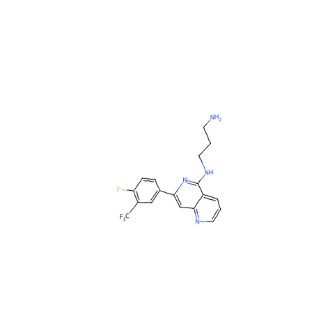 NCCCNc1nc(-c2ccc(F)c(C(F)(F)F)c2)cc2ncccc12